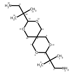 CC(C)(CN)C1OCC2(CO1)COC(C(C)(C)CN)OC2